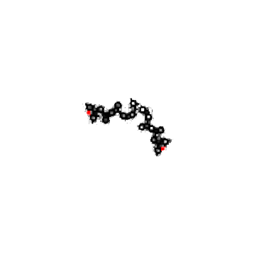 Cc1cc(C)c(B(c2ccc3oc4ccc(-n5c6ccccc6c6cc7c(cc65)c5ccccc5n7-c5cccc(B(c6c(C)cc(C)cc6C)c6c(C)cc(C)cc6C)n5)cc4c3c2)c2ccc3oc4ccc(-n5c6ccccc6c6cc7c(cc65)c5ccccc5n7-c5cccc(B(c6c(C)cc(C)cc6C)c6c(C)cc(C)cc6C)n5)cc4c3c2)c(C)c1